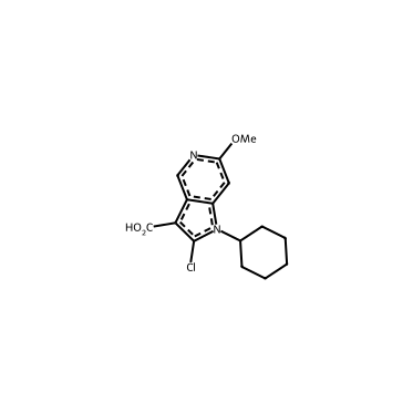 COc1cc2c(cn1)c(C(=O)O)c(Cl)n2C1CCCCC1